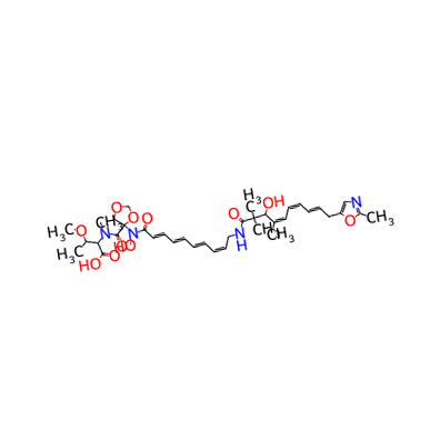 COC(C)C(C(=O)O)N(C)C(=O)C1(N(O)C(=O)/C=C/C=C/C=C/C=C\CNC(=O)C(C)(C)C(O)\C(C)=C/C=C\C=C\Cc2cnc(C)o2)COCO1